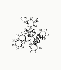 O=P(O)(O)C(Cc1ccccc1)(Cc1ccccc1)N(c1ccc2ccccc2c1)S(=O)(=O)c1cc(Cl)cc(Cl)c1